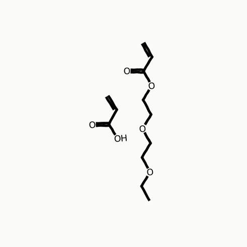 C=CC(=O)O.C=CC(=O)OCCOCCOCC